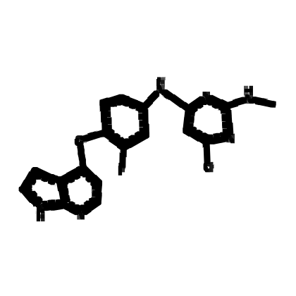 CNc1nc(Cl)cc(Nc2ccc(Oc3ccnc4[nH]ccc34)c(F)c2)n1